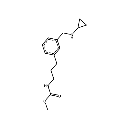 COC(=O)NCCCc1cccc(CNC2CC2)c1